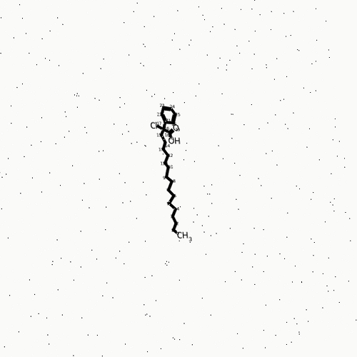 CCCCCCCCCCCCCCCCC(Cl)(C(=O)O)c1ccccc1